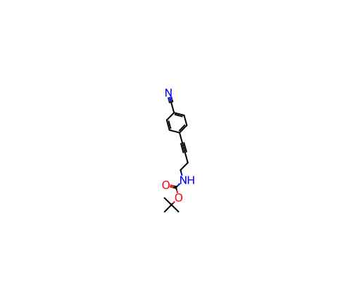 CC(C)(C)OC(=O)NCCC#Cc1ccc(C#N)cc1